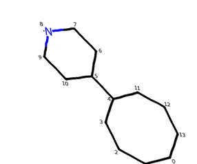 C1CCCC(C2CC[N]CC2)CCC1